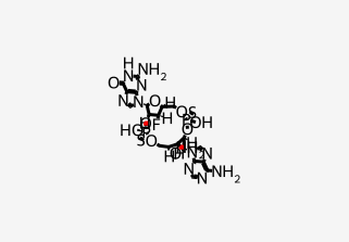 Nc1nc2c(ncn2[C@@H]2O[C@@H]3COP(O)(=S)O[C@@H]4[C@H](N)[C@@H](CO[P@](O)(=S)O[C@@H]2[C@@H]3F)O[C@H]4n2cnc3c(N)ncnc32)c(=O)[nH]1